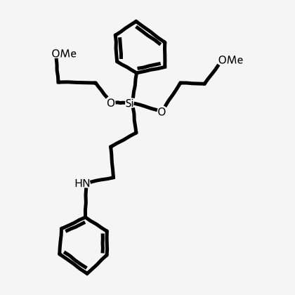 COCCO[Si](CCCNc1ccccc1)(OCCOC)c1ccccc1